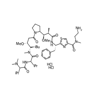 CC[C@H](C)[C@@H]([C@@H](CC(=O)N1CCCC1[C@H](OC)[C@@H](C)C(=O)N[C@@H](Cc1ccccc1)c1nc(C(=O)N(C)CCN)cs1)OC)N(C)C(=O)C(NC(=O)C(C(C)C)N(C)C)C(C)C.Cl.Cl